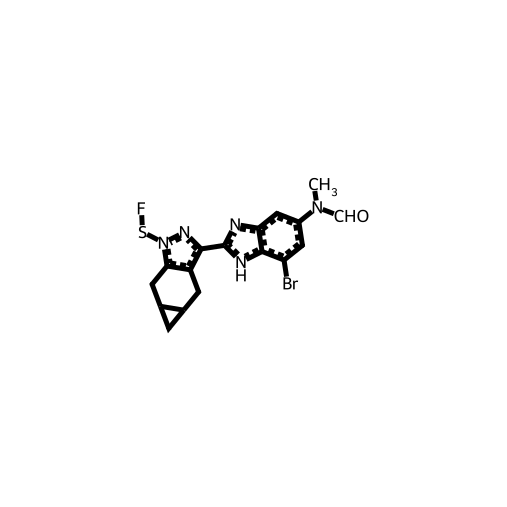 CN(C=O)c1cc(Br)c2[nH]c(-c3nn(SF)c4c3CC3CC3C4)nc2c1